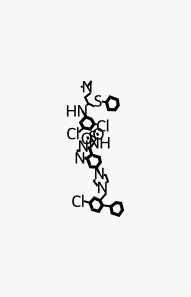 CN(C)CCC(CSc1ccccc1)Nc1cc(Cl)c(S(=O)(=O)Nc2ncnc3cc(N4CCN(Cc5cc(Cl)ccc5-c5ccccc5)CC4)ccc23)c(Cl)c1